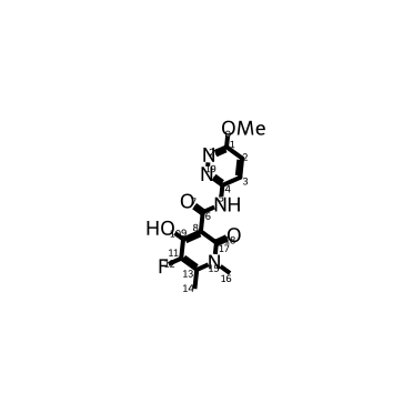 COc1ccc(NC(=O)c2c(O)c(F)c(C)n(C)c2=O)nn1